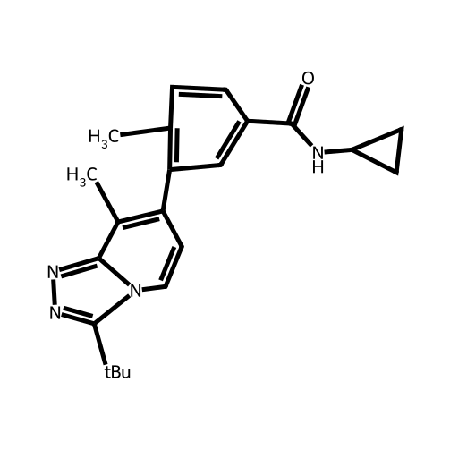 Cc1ccc(C(=O)NC2CC2)cc1-c1ccn2c(C(C)(C)C)nnc2c1C